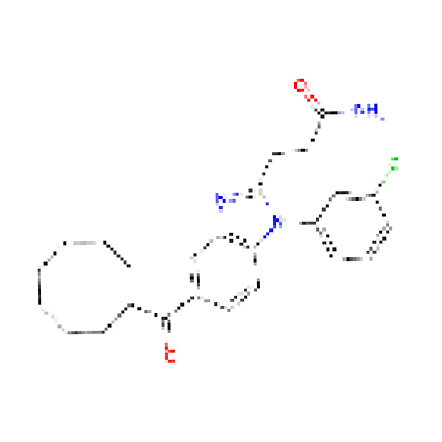 NC(=O)CCc1nc2cc(C(=O)C3CCCCCCC3)ccc2n1-c1cccc(Cl)c1